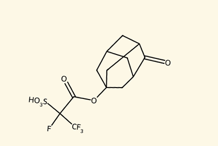 O=C1C2CC3CC1CC(OC(=O)C(F)(C(F)(F)F)S(=O)(=O)O)(C3)C2